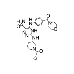 NC(=O)C1=C(Nc2ccc(C(=O)N3CCOCC3)cc2)NC(N[C@@H]2CCCN(C(=O)C3CC3)C2)N=N1